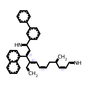 C=CC(=C\C=C/CC(=C)/C=C\C=N)/C(=C/C(=N)c1cccc(-c2ccccc2)c1)c1cccc2ccccc12